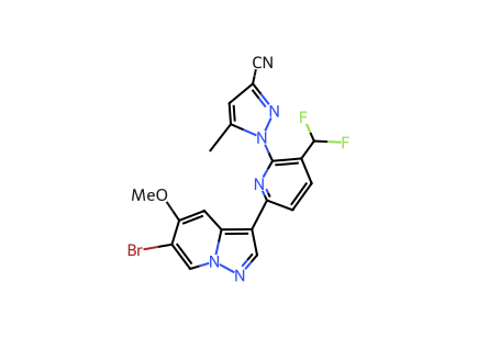 COc1cc2c(-c3ccc(C(F)F)c(-n4nc(C#N)cc4C)n3)cnn2cc1Br